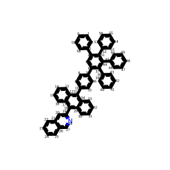 c1ccc(-c2cc(-c3ccc(-c4c5ccccc5c(-c5cc6ccccc6cn5)c5ccccc45)cc3)c(-c3ccccc3)c(-c3ccccc3)c2-c2ccccc2)cc1